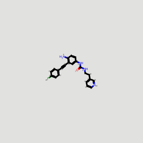 Nc1ccc(NC(=O)NCCc2cccnc2)cc1C#Cc1ccc(F)cc1